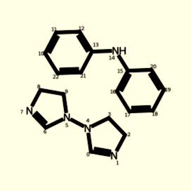 C1=NCCN1N1C=NCC1.c1ccc(Nc2ccccc2)cc1